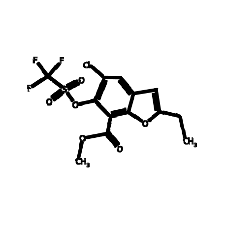 CCc1cc2cc(Cl)c(OS(=O)(=O)C(F)(F)F)c(C(=O)OC)c2o1